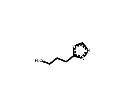 CCCCc1nncs1